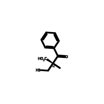 C[C@@](CS)(C(=O)O)C(=O)c1ccccc1